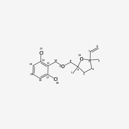 C=CC1(C)CCC(C)(COCc2c(Cl)cccc2Cl)O1